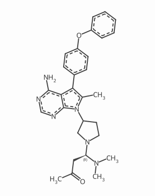 CC(=O)C[C@H](N(C)C)N1CCC(n2c(C)c(-c3ccc(Oc4ccccc4)cc3)c3c(N)ncnc32)C1